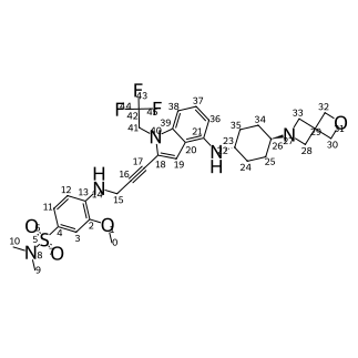 COc1cc(S(=O)(=O)N(C)C)ccc1NCC#Cc1cc2c(N[C@H]3CC[C@H](N4CC5(COC5)C4)CC3)cccc2n1CC(F)(F)F